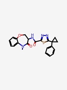 CN1C(=O)C(NC(=O)c2nnc(C3(c4ccccc4)CC3)s2)COc2ccccc21